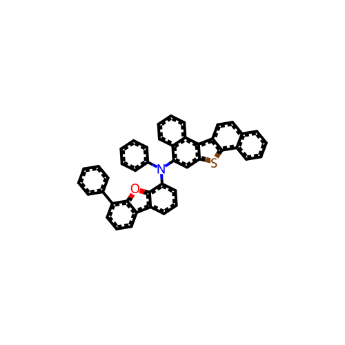 c1ccc(-c2cccc3c2oc2c(N(c4ccccc4)c4cc5sc6c7ccccc7ccc6c5c5ccccc45)cccc23)cc1